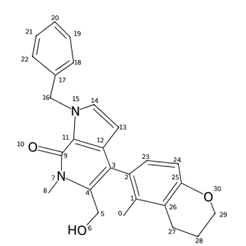 Cc1c(-c2c(CO)n(C)c(=O)c3c2ccn3Cc2ccccc2)ccc2c1CCCO2